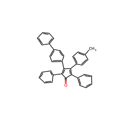 Cc1ccc(C2=C(c3ccccc3)C(=O)C(c3ccccc3)=C2c2ccc(-c3ccccc3)cc2)cc1